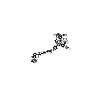 CC[C@H](C(=O)N1CCCC[C@H]1C(=O)O[C@H](CCc1ccc(OC)c(OC)c1)c1ccc(OCC(=O)NCCCCCCCC(=O)Nc2cccc3c2CN(C2CCCNC2=O)C3=O)cc1)c1cc(OC)c(OC)c(OC)c1